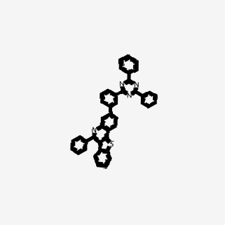 c1ccc(-c2nc(-c3ccccc3)nc(-c3cccc(-c4ccc5c(c4)nc(-c4ccccc4)c4c6ccccc6sc54)c3)n2)cc1